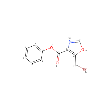 O=C(Oc1ccccc1)c1ncoc1CBr